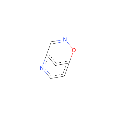 C1=NOc2ccnc1c2